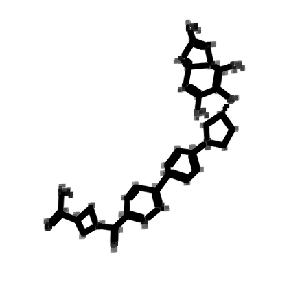 Cc1nc2nc(C)c(O[C@@H]3CCN(c4ccc(-c5ccc(C(=O)N6CC(C(N)=O)C6)nn5)cc4)C3)c(C)n2n1